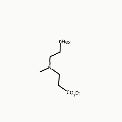 CCCCCCCCN(C)CCC(=O)OCC